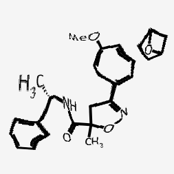 C1CC2CC1O2.COc1cccc(C2=NOC(C)(C(=O)N[C@@H](C)c3ccccc3)C2)c1